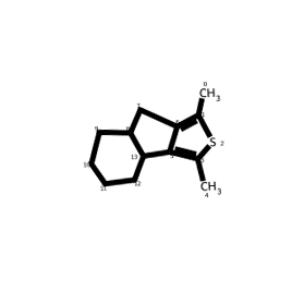 Cc1sc(C)c2c1CC1CCCCC21